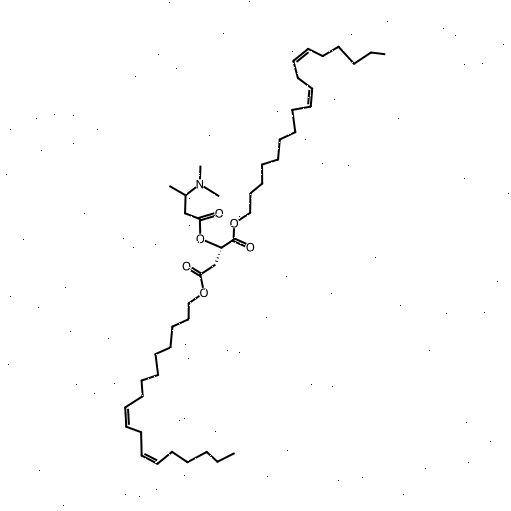 CCCCC/C=C\C/C=C\CCCCCCCCOC(=O)C[C@H](OC(=O)CC(C)N(C)C)C(=O)OCCCCCCCC/C=C\C/C=C\CCCCC